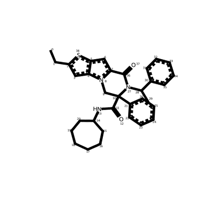 CCc1cc2c(cc3n2CC(C(=O)NC2CCCCCC2)(c2ccccc2)N(C(C)c2ccccc2)C3=O)s1